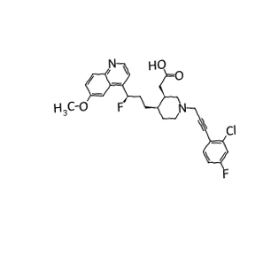 COc1ccc2nccc([C@H](F)CC[C@@H]3CCN(CC#Cc4ccc(F)cc4Cl)C[C@@H]3CC(=O)O)c2c1